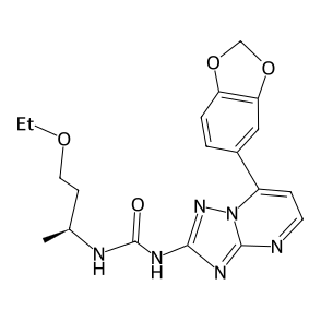 CCOCC[C@H](C)NC(=O)Nc1nc2nccc(-c3ccc4c(c3)OCO4)n2n1